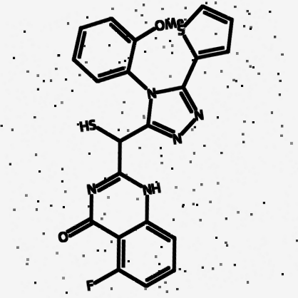 COc1ccccc1-n1c(-c2cccs2)nnc1C(S)c1nc(=O)c2c(F)cccc2[nH]1